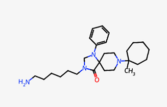 CC1(N2CCC3(CC2)C(=O)N(CCCCCCN)CN3c2ccccc2)CCCCCC1